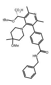 COC1(C)CCN(c2c(-c3ccc(C(=O)NCc4ccccc4)cc3)c(C)nc(C)c2[C@H](OC(C)(C)C)C(=O)O)CC1